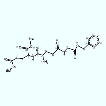 CC(C)(C)OC(=O)CCC(NC(=O)C(N)CCC(=O)NCC(=O)OCc1ccccc1)C(=O)OC(C)(C)C